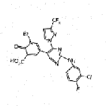 CCn1cc(-c2cnc(Nc3ccc(F)c(Cl)c3)nc2-n2ccc(C(F)(F)F)n2)cc(C(=O)O)c1=O